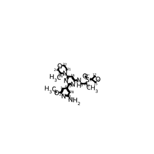 COc1cc(-c2nc(NC[C@@H](C)[S+]([O-])C3COC3)cc(N3CCOC[C@H]3C)n2)cc(N)n1